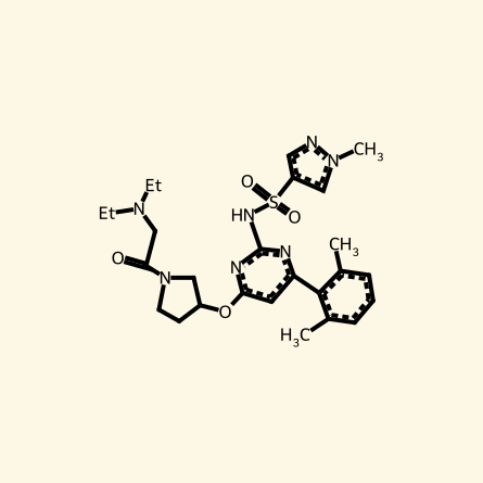 CCN(CC)CC(=O)N1CCC(Oc2cc(-c3c(C)cccc3C)nc(NS(=O)(=O)c3cnn(C)c3)n2)C1